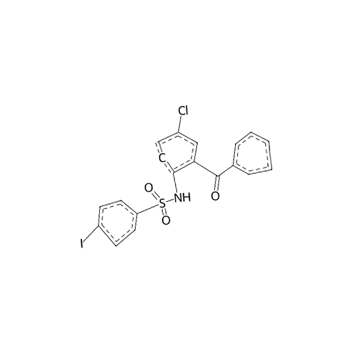 O=C(c1ccccc1)c1cc(Cl)ccc1NS(=O)(=O)c1ccc(I)cc1